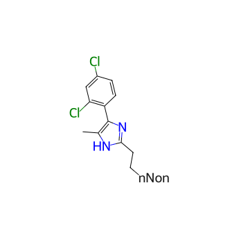 CCCCCCCCCCCc1nc(-c2ccc(Cl)cc2Cl)c(C)[nH]1